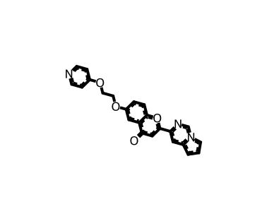 O=c1cc(-c2cc3cccn3cn2)oc2ccc(OCCOc3ccncc3)cc12